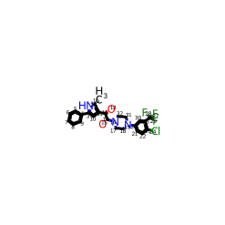 Cc1[nH]c(-c2ccccc2)cc1C(=O)C(=O)N1CCN(c2ccc(Cl)c(C(F)(F)F)c2)CC1